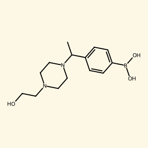 CC(c1ccc(B(O)O)cc1)N1CCN(CCO)CC1